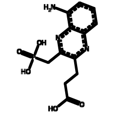 Nc1cccc2nc(CCC(=O)O)c(CP(=O)(O)O)nc12